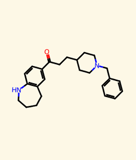 O=C(CCC1CCN(Cc2ccccc2)CC1)c1ccc2c(c1)CCCCN2